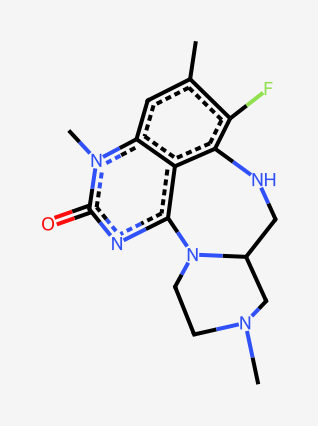 Cc1cc2c3c(nc(=O)n2C)N2CCN(C)CC2CNc3c1F